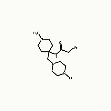 CCN1CCN(CC2(NC(=O)CC(C)C)CCN(C)CC2)CC1